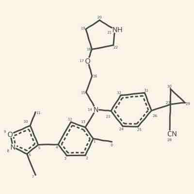 Cc1ccc(-c2c(C)noc2C)cc1N(CCOC1CCNC1)c1ccc(C2(C#N)CC2)cc1